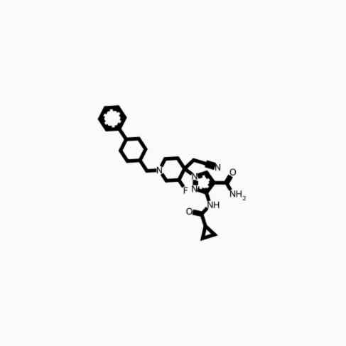 N#CCC1(n2cc(C(N)=O)c(NC(=O)C3CC3)n2)CCN(CC2CCC(c3ccccc3)CC2)CC1F